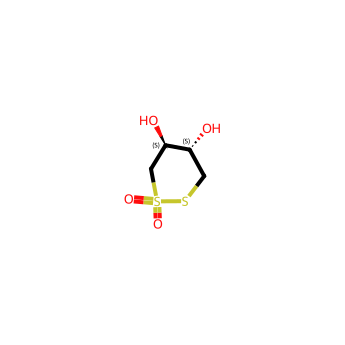 O=S1(=O)C[C@@H](O)[C@H](O)CS1